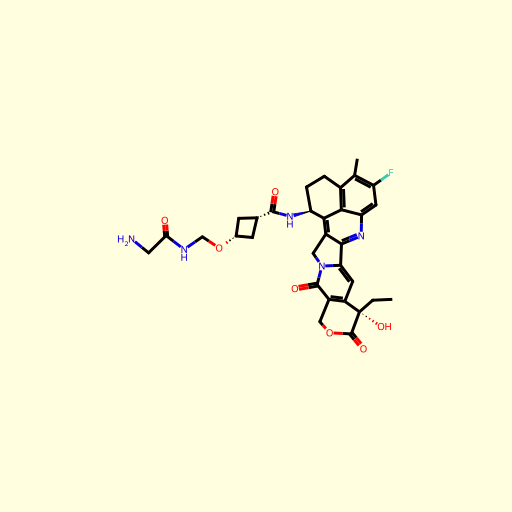 CC[C@@]1(O)C(=O)OCc2c1cc1n(c2=O)Cc2c-1nc1cc(F)c(C)c3c1c2[C@@H](NC(=O)[C@H]1C[C@@H](OCNC(=O)CN)C1)CC3